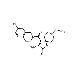 CCN1CCC2(CC1)OC(=O)C(C)=C2C(=O)N1CCc2ccc(Cl)cc2C1